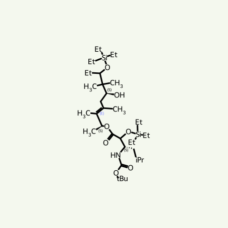 CCC(O[Si](CC)(CC)CC)C(C)(C)[C@@H](O)C/C(C)=C(\C)[C@H](C)OC(=O)C(O[Si](CC)(CC)CC)[C@H](CC(C)C)NC(=O)OC(C)(C)C